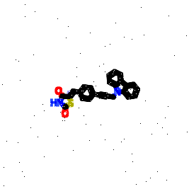 O=C1NC(=O)/C(=C/c2ccc(C#CCn3c4ccccc4c4ccccc43)cc2)S1